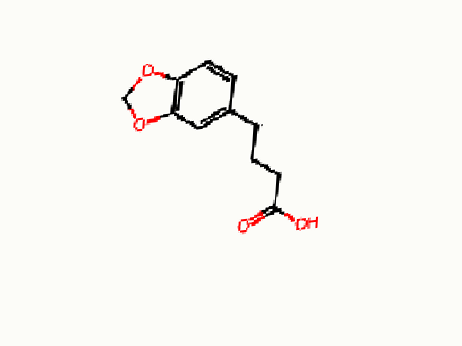 O=C(O)CC[CH]c1ccc2c(c1)OCO2